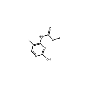 O=C(Nc1nc(O)ncc1F)OI